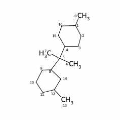 CC1CCC(C(C)(C)C2CCCC(C)C2)CC1